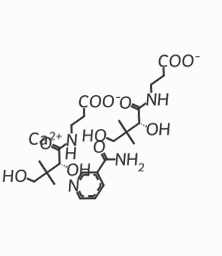 CC(C)(CO)[C@@H](O)C(=O)NCCC(=O)[O-].CC(C)(CO)[C@@H](O)C(=O)NCCC(=O)[O-].NC(=O)c1cccnc1.[Ca+2]